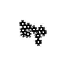 CC1(C)c2ccccc2-c2c(-c3cc(-c4ccc(N(c5ccc(-c6ccccc6)cc5)c5cccc6ccccc56)cc4)ccc3-c3ccccc3)cccc21